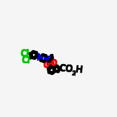 C=CC(N1CCN(c2ccc(Cl)c(Cl)c2)CC1)S(=O)(=O)c1cccc2c1CC(C(=O)O)C2